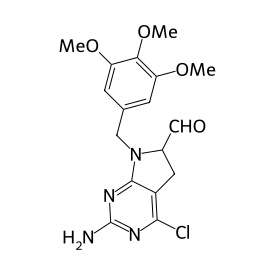 COc1cc(CN2c3nc(N)nc(Cl)c3CC2C=O)cc(OC)c1OC